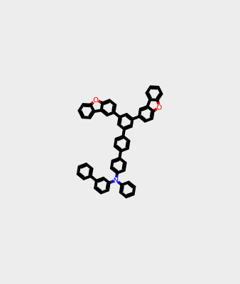 c1ccc(-c2cccc(N(c3ccccc3)c3ccc(-c4ccc(-c5cc(-c6ccc7oc8ccccc8c7c6)cc(-c6ccc7oc8ccccc8c7c6)c5)cc4)cc3)c2)cc1